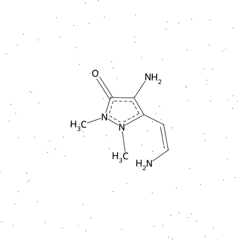 Cn1c(/C=C\N)c(N)c(=O)n1C